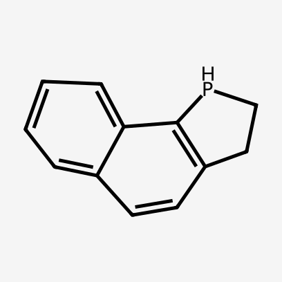 c1ccc2c3c(ccc2c1)CCP3